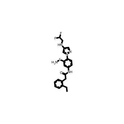 CCc1ccccc1CC(=O)Nc1ccc(-n2cc(NCC(F)F)cn2)c(SN)c1